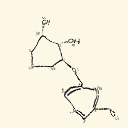 O[C@@H]1[C@@H](Oc2cncc(C(F)(F)F)n2)CSC[C@@H]1O